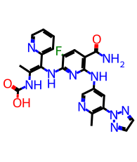 CC(NC(=O)O)=C(Nc1nc(Nc2cnc(C)c(-n3nccn3)c2)c(C(N)=O)cc1F)c1ccccn1